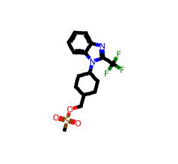 CS(=O)(=O)OCC1CCC(n2c(C(F)(F)F)nc3ccccc32)CC1